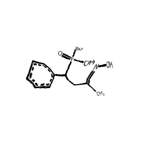 CCC(C)P(=O)(O)C(CC(C)=NO)c1ccccc1